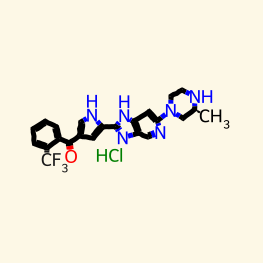 C[C@@H]1CN(c2cc3[nH]c(-c4cc(C(=O)c5ccccc5C(F)(F)F)c[nH]4)nc3cn2)CCN1.Cl